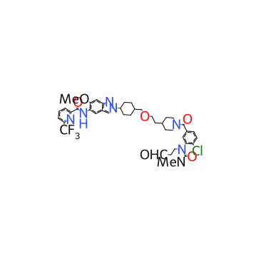 CNC(=O)N(CCC=O)c1cc(C(=O)N2CCC(CCOCC3CCC(n4cc5cc(NC(=O)c6cccc(C(F)(F)F)n6)c(OC)cc5n4)CC3)CC2)ccc1Cl